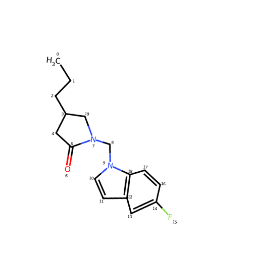 CCCC1CC(=O)N(Cn2ccc3cc(F)ccc32)C1